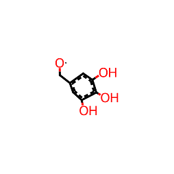 [O]Cc1cc(O)c(O)c(O)c1